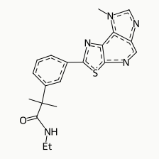 CCNC(=O)C(C)(C)c1cccc(-c2nc3c(ncc4ncn(C)c43)s2)c1